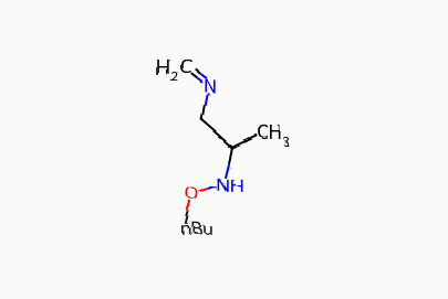 C=NCC(C)NOCCCC